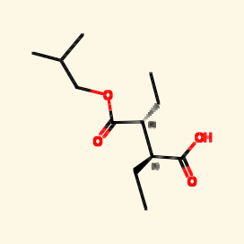 CC[C@H](C(=O)O)[C@@H](CC)C(=O)OCC(C)C